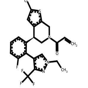 C=CC(=O)N1Cc2sc(Cl)cc2[C@H](c2cccc(F)c2-c2cn(CC)nc2C(F)(F)F)C1